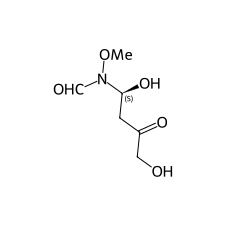 CON(C=O)[C@@H](O)CC(=O)CO